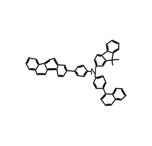 CC1(C)c2ccccc2-c2ccc(N(c3ccc(-c4ccc5c(ccc6c7ccccc7ccc56)c4)cc3)c3ccc(-c4cccc5ccccc45)cc3)cc21